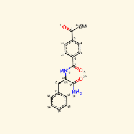 CC(C)(C)C(=O)c1ccc(C(=O)N[C@H](Cc2ccccc2)C(N)=O)cc1